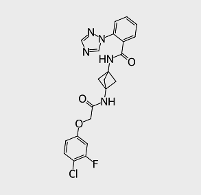 O=C(COc1ccc(Cl)c(F)c1)NC12CC(NC(=O)c3ccccc3-n3cncn3)(C1)C2